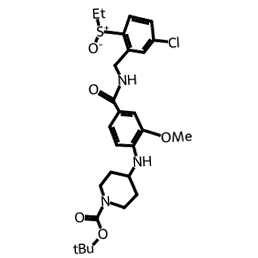 CC[S+]([O-])c1ccc(Cl)cc1CNC(=O)c1ccc(NC2CCN(C(=O)OC(C)(C)C)CC2)c(OC)c1